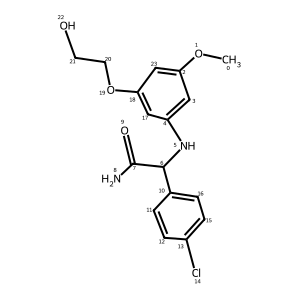 COc1cc(NC(C(N)=O)c2ccc(Cl)cc2)cc(OCCO)c1